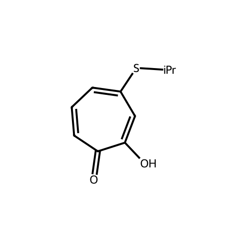 CC(C)Sc1cccc(=O)c(O)c1